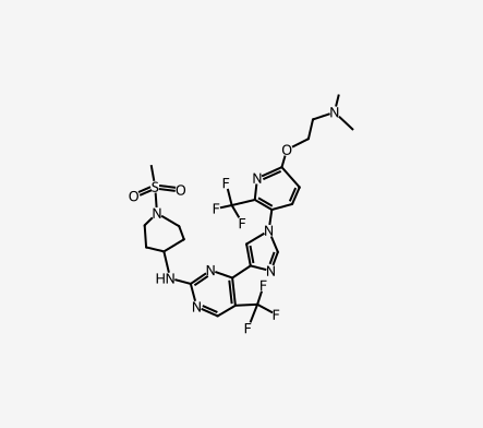 CN(C)CCOc1ccc(-n2cnc(-c3nc(NC4CCN(S(C)(=O)=O)CC4)ncc3C(F)(F)F)c2)c(C(F)(F)F)n1